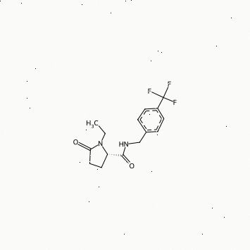 CCN1C(=O)CC[C@H]1C(=O)NCc1ccc(C(F)(F)F)cc1